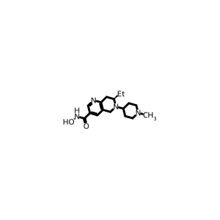 CC[C@@H]1Cc2ncc(C(=O)NO)cc2CN1C1CCN(C)CC1